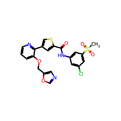 CS(=O)(=O)c1cc(Cl)cc(NC(=O)c2cc(-c3ncccc3OCc3cnco3)cs2)c1